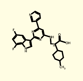 CC1CCC([C@@H](CNc2cc(-c3cccnc3)nc(-c3c[nH]c4c(F)cc(F)cc34)n2)C(=O)O)CC1